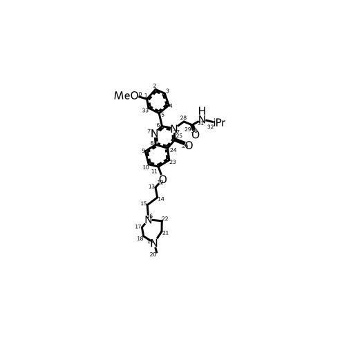 COc1cccc(-c2nc3ccc(OCCCN4CCN(C)CC4)cc3c(=O)n2CC(=O)NC(C)C)c1